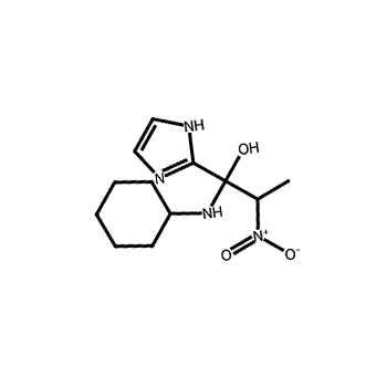 CC([N+](=O)[O-])C(O)(NC1CCCCC1)c1ncc[nH]1